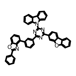 c1ccc(-c2nc3c(-c4cccc(-c5nc(-c6ccc7c(c6)oc6ccccc67)nc(-n6c7ccccc7c7ccccc76)n5)c4)cccc3o2)cc1